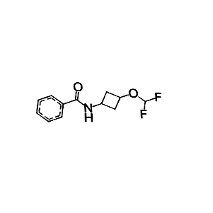 O=C(NC1CC(OC(F)F)C1)c1ccccc1